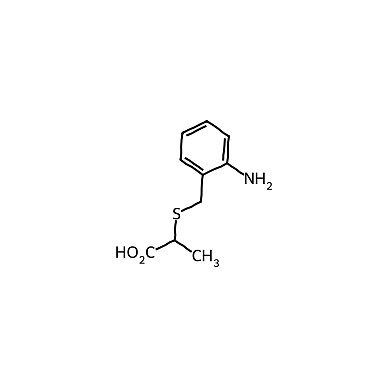 CC(SCc1ccccc1N)C(=O)O